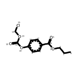 CCCOC(=O)c1ccc(OC(=O)OCCl)cc1